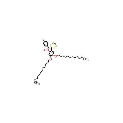 CCCCCCCCCCCCOc1ccc(C2(C(O)c3ccc(I)cc3)SCCCS2)cc1OCCCCCCCCCCCC